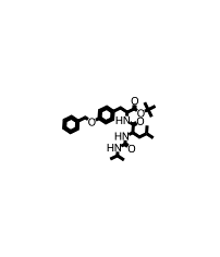 CC(C)CC(NC(=O)NC(C)C)C(=O)NC(Cc1ccc(OCc2ccccc2)cc1)C(=O)OC(C)(C)C